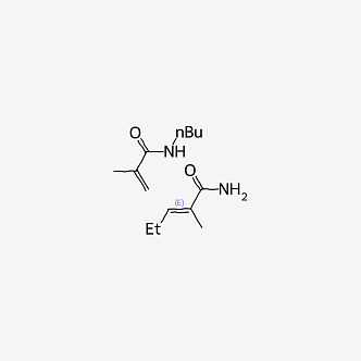 C=C(C)C(=O)NCCCC.CC/C=C(\C)C(N)=O